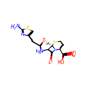 Nc1nc(CC(=O)NC2C(=O)N3C(C(=O)O)=CCS[C@H]23)cs1